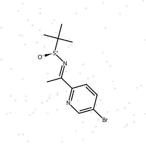 C/C(=N\[S@@+]([O-])C(C)(C)C)c1ccc(Br)cn1